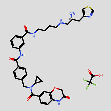 N[C@H](CNCCCCNC(=O)c1cccc(NC(=O)c2ccc(CN(C(=O)c3ccc4c(c3)OCC(=O)N4)C3CC3)cc2)c1)Cc1cscn1.O=C(O)C(F)(F)F